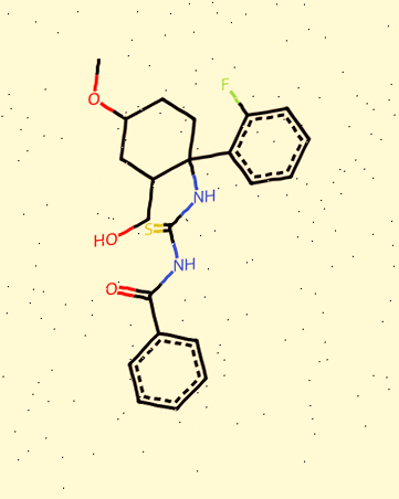 COC1CCC(NC(=S)NC(=O)c2ccccc2)(c2ccccc2F)C(CO)C1